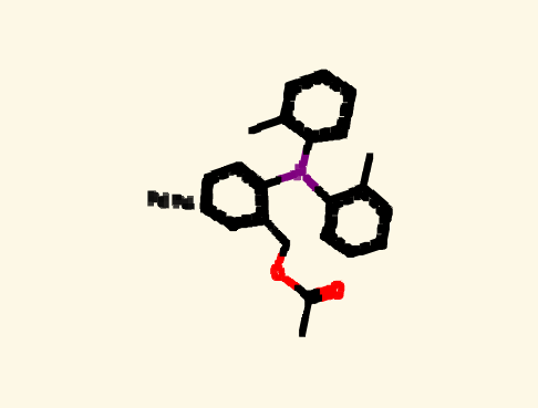 CC(=O)OCc1ccccc1P(c1ccccc1C)c1ccccc1C.[Pd].[Pd]